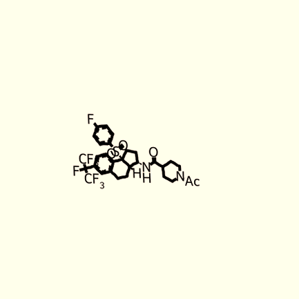 CC(=O)N1CCC(C(=O)N[C@H]2CC[C@@]3(S(=O)(=O)c4ccc(F)cc4)c4ccc(C(F)(C(F)(F)F)C(F)(F)F)cc4CC[C@@H]23)CC1